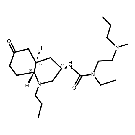 CCCN(C)CCN(CC)C(=O)N[C@H]1C[C@@H]2CC(=O)CC[C@H]2N(CCC)C1